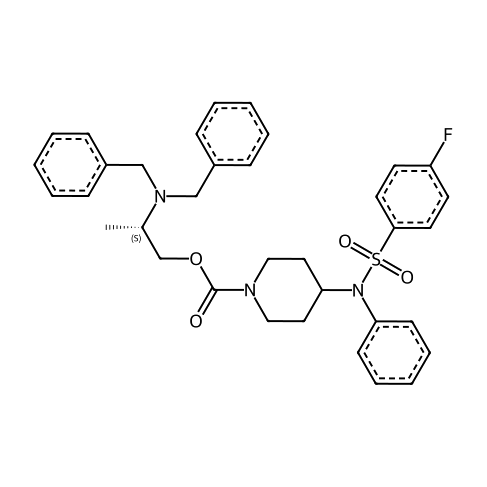 C[C@@H](COC(=O)N1CCC(N(c2ccccc2)S(=O)(=O)c2ccc(F)cc2)CC1)N(Cc1ccccc1)Cc1ccccc1